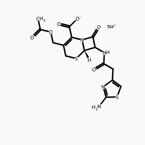 CC(=O)OCC1=C(C(=O)[O-])N2C(=O)C(NC(=O)Cc3csc(N)n3)[C@@H]2SC1.[Na+]